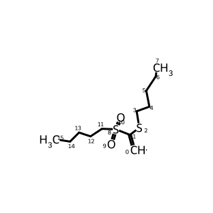 [CH]=C(SCCCCC)S(=O)(=O)CCCCC